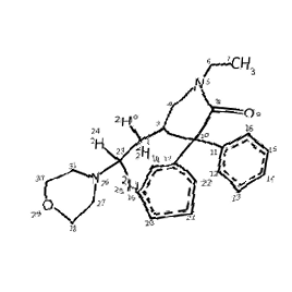 [2H]C([2H])(C1CN(CC)C(=O)C1(c1ccccc1)c1ccccc1)C([2H])([2H])N1CCOCC1